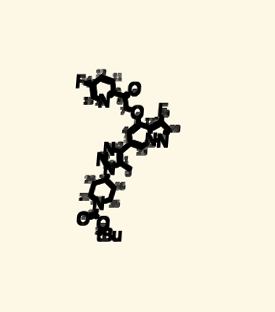 Cc1c(-c2cc(OCC(=O)c3ccc(F)cn3)c3c(F)cnn3c2)nnn1C1CCN(C(=O)OC(C)(C)C)CC1